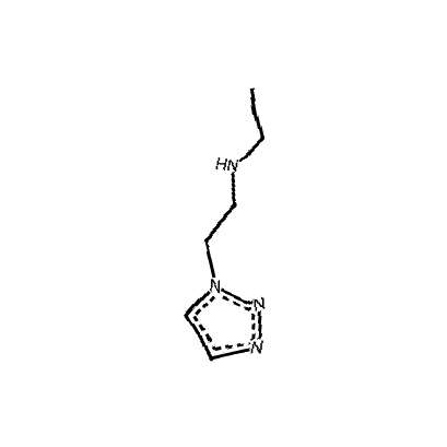 CCNCCn1ccnn1